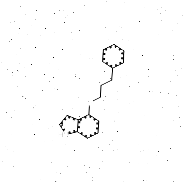 c1ccc(CCCOc2cccc3[nH]ccc23)cc1